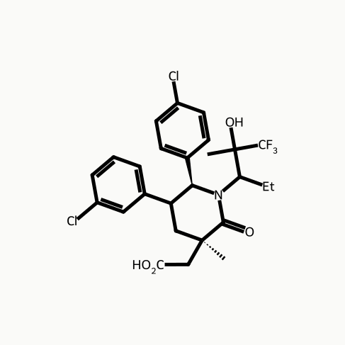 CCC(N1C(=O)[C@@](C)(CC(=O)O)CC(c2cccc(Cl)c2)[C@H]1c1ccc(Cl)cc1)C(C)(O)C(F)(F)F